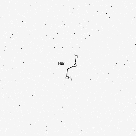 Br.CC[O][Ti]